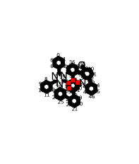 c1ccc(-c2nc(-c3ccccc3)nc(-c3cc(-c4ccccc4-c4ccccc4)cnc3-c3cccc4oc5ccc6c7ccccc7n(-c7ccccc7)c6c5c34)n2)cc1